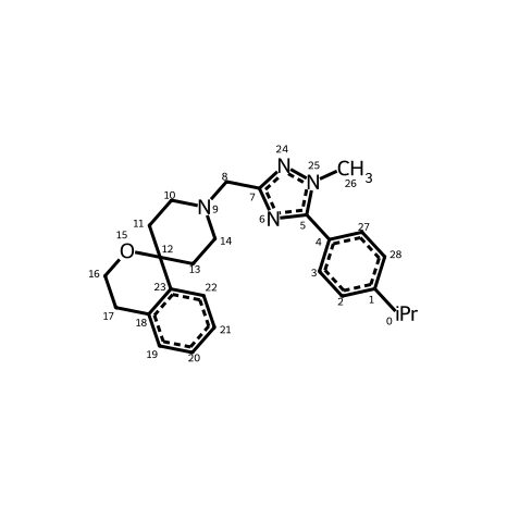 CC(C)c1ccc(-c2nc(CN3CCC4(CC3)OCCc3ccccc34)nn2C)cc1